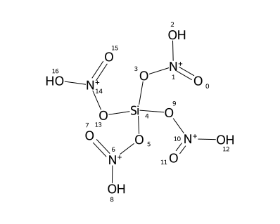 O=[N+](O)O[Si](O[N+](=O)O)(O[N+](=O)O)O[N+](=O)O